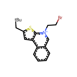 CC(C)(C)Cc1cc2c3ccccc3c[n+](CCBr)c2s1